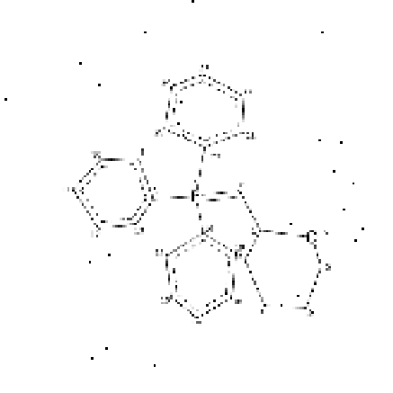 C(C1CCCCO1)=P(c1ccccc1)(c1ccccc1)c1ccccc1